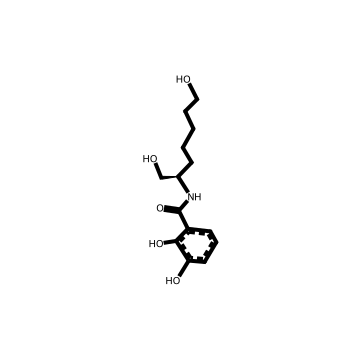 O=C(N[C@@H](CO)CCCCCO)c1cccc(O)c1O